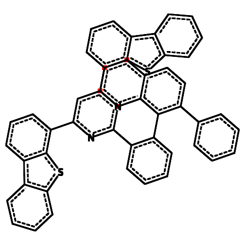 c1ccc(-c2ccc3ccccc3c2-c2ccccc2-c2nc(-c3cccc4c3sc3ccccc34)cc(-c3cccc4c3sc3ccccc34)n2)cc1